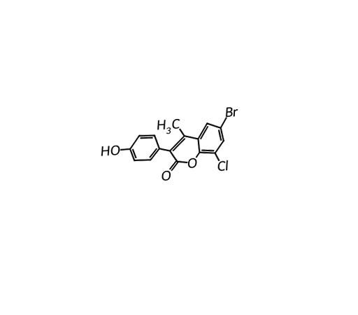 Cc1c(-c2ccc(O)cc2)c(=O)oc2c(Cl)cc(Br)cc12